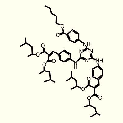 CCCCCOC(=O)c1ccc(Nc2nc(Nc3ccc(C=C(C(=O)OC(C)CC(C)C)C(=O)OC(C)CC(C)C)cc3)nc(Nc3ccc(C=C(C(=O)OC(C)CC(C)C)C(=O)OC(C)CC(C)C)cc3)n2)cc1